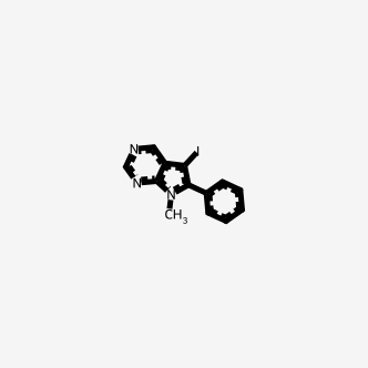 Cn1c(-c2ccccc2)c(I)c2cncnc21